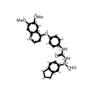 COc1cc2nccc(Oc3ccc(NC(=O)NN(C=O)c4ccc5c(c4)CCC5)cc3)c2cc1OC